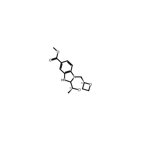 COC(=O)c1ccc2c(c1)NC([C@H](C)Cl)N2C[C@@H]1CCO1